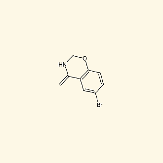 C=C1NCOc2ccc(Br)cc21